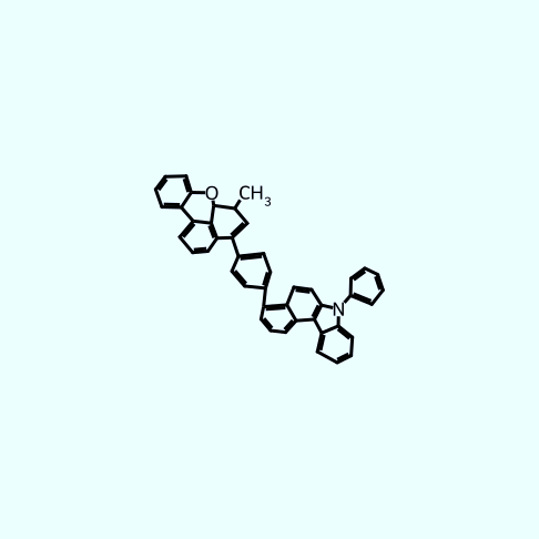 CC1C=C(c2ccc(-c3cccc4c3ccc3c4c4ccccc4n3-c3ccccc3)cc2)c2cccc3c2C1Oc1ccccc1-3